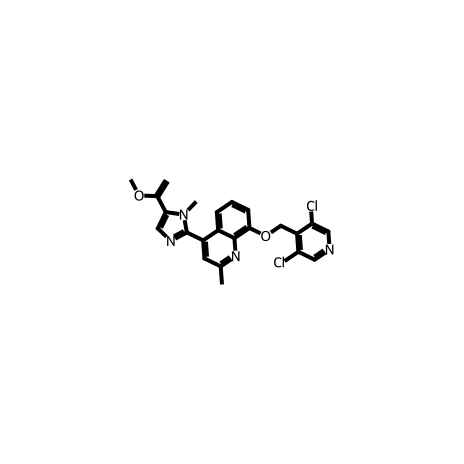 C=C(OC)c1cnc(-c2cc(C)nc3c(OCc4c(Cl)cncc4Cl)cccc23)n1C